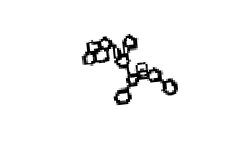 c1ccc(-c2ccc3oc4c(-c5ccc6c(c5)c5ccccc5n6-c5ccc6ccc7cccc8ccc5c6c78)cc(-c5ccccc5)cc4c3c2)cc1